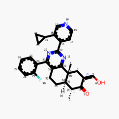 C[C@H]1C(=O)/C(=C\O)C[C@@]2(C)c3nc(-c4ccncc4C4CC4)nc(-c4ccccc4F)c3CC[C@H]12